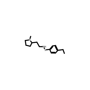 CCc1ccc(SNCCC2CCCN2C)cc1